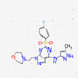 Cc1cc(Nc2nc(S(=O)(=O)c3ccc(F)cc3)nc3c2cnn3CCN2CCOCC2)n[nH]1